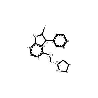 IC1Oc2ncnc(NC[C@@H]3CCCO3)c2C1c1ccccc1